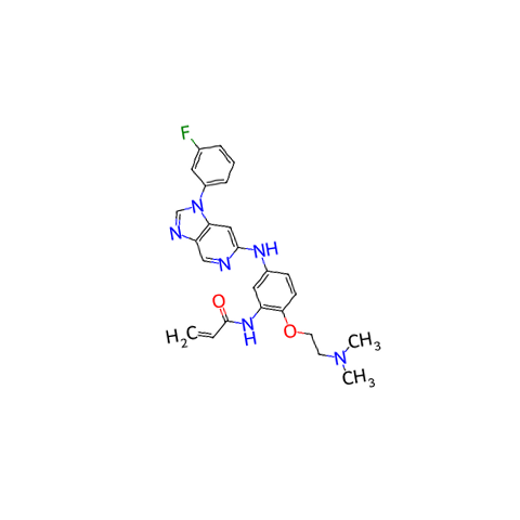 C=CC(=O)Nc1cc(Nc2cc3c(cn2)ncn3-c2cccc(F)c2)ccc1OCCN(C)C